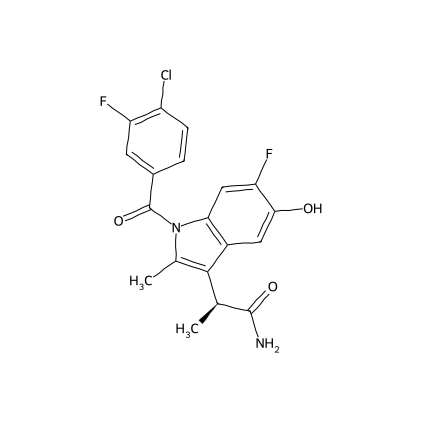 Cc1c([C@H](C)C(N)=O)c2cc(O)c(F)cc2n1C(=O)c1ccc(Cl)c(F)c1